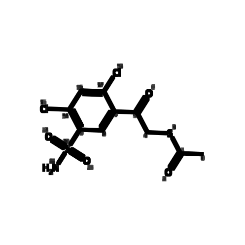 CC(=O)SCC(=O)c1cc(S(N)(=O)=O)c(Cl)cc1Cl